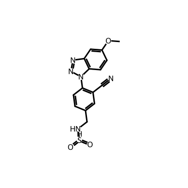 COc1ccc2c(c1)nnn2-c1ccc(CN[SH](=O)=O)cc1C#N